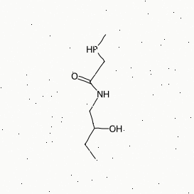 CCC(O)CNC(=O)CPC